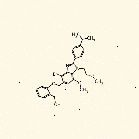 COCCn1c(-c2ccc(C(C)C)cc2)nc2c(Br)c(COc3ccccc3CO)cc(OC)c21